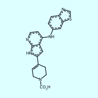 O=C(O)N1CC=C(c2cc3c(Nc4ccc5ncsc5c4)ccnc3[nH]2)CC1